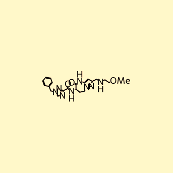 COCCNCc1cc2n(n1)CC[C@H](NC(=O)c1ncn(Cc3ccccc3)n1)C(=O)N2